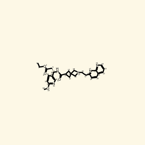 CCOC(=O)C[C@H](NC(=O)C1CC2(C1)CN(CCc1ccc3cccnc3n1)C2)c1ccc(OC)nc1